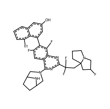 CCc1cccc2cc(O)cc(-c3c(F)cc4c(N5CC6CCC(C5)N6)nc(C(F)(F)CC56CCCN5CC(F)C6)nc4c3F)c12